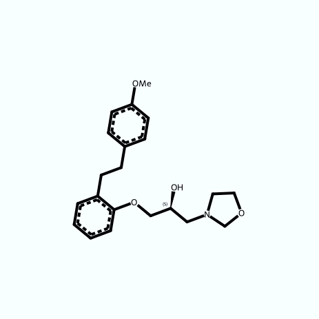 COc1ccc(CCc2ccccc2OC[C@@H](O)CN2CCOC2)cc1